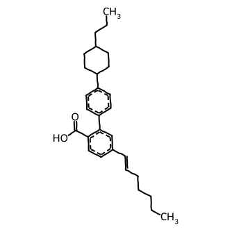 CCCCC/C=C/c1ccc(C(=O)O)c(-c2ccc(C3CCC(CCC)CC3)cc2)c1